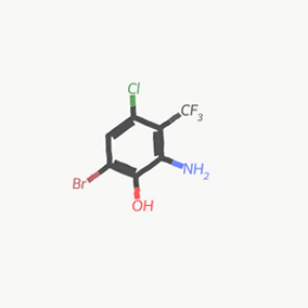 Nc1c(O)c(Br)cc(Cl)c1C(F)(F)F